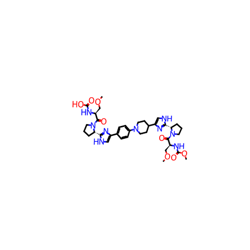 COC[C@H](NC(=O)O)C(=O)N1CCC[C@H]1c1nc(-c2ccc(N3CCC(c4c[nH]c([C@@H]5CCCN5C(=O)[C@H](COC)NC(=O)OC)n4)CC3)cc2)c[nH]1